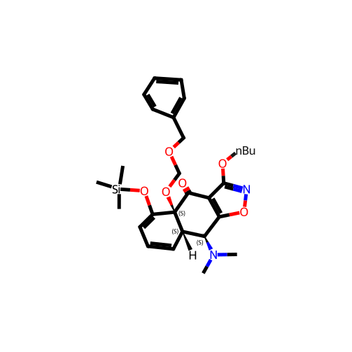 CCCCOc1noc2c1C(=O)[C@@]1(OCOCc3ccccc3)C(O[Si](C)(C)C)=CC=C[C@H]1[C@@H]2N(C)C